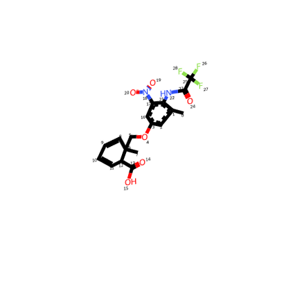 Cc1cc(OCC2(C)C=CC=CC2C(=O)O)cc([N+](=O)[O-])c1NC(=O)C(F)(F)F